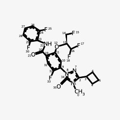 Cn1c(C2CCC2)nn(-c2cc(O[C@@H](CF)C(F)F)c(C(=O)Nc3c(F)cccc3F)cc2F)c1=O